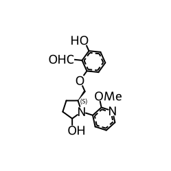 COc1ncccc1N1C(O)CC[C@H]1COc1cccc(O)c1C=O